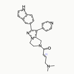 CN(C)C/C=C/C(=O)N1CCn2nc(-c3ccc4[nH]ccc4c3)c(-c3ccncc3)c2C1